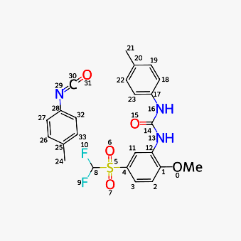 COc1ccc(S(=O)(=O)C(F)F)cc1NC(=O)Nc1ccc(C)cc1.Cc1ccc(N=C=O)cc1